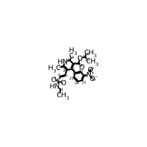 CCNS(=O)(=O)C=CC1=C(C)NC(C)C(C(=O)OC(C)C)=C1c1cccc([N+](=O)[O-])c1